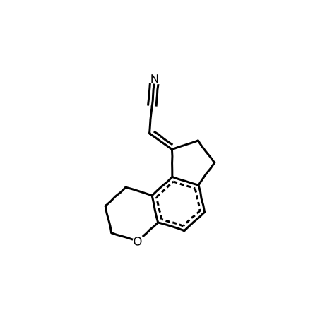 N#C/C=C1\CCc2ccc3c(c21)CCCO3